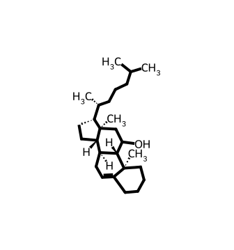 CC(C)CCC[C@@H](C)[C@H]1CC[C@H]2[C@@H]3CC=C4CCCC[C@]4(C)[C@H]3C(O)C[C@]12C